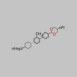 CCCCCCC[C@H]1CC[C@H](c2ccc(-c3ccc(C4OCC(CCC)CO4)cc3)c(C)c2)CC1